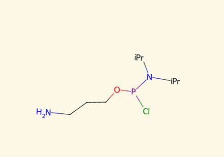 CC(C)N(C(C)C)P(Cl)OCCCN